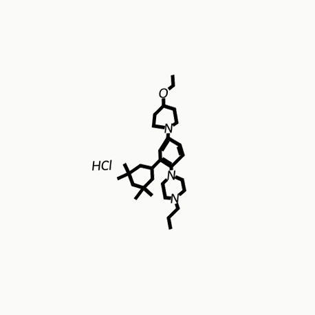 CCCN1CCN(c2ccc(N3CCC(OCC)CC3)cc2C2CC(C)(C)CC(C)(C)C2)CC1.Cl